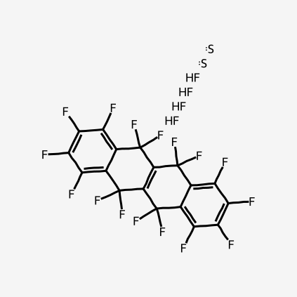 F.F.F.F.Fc1c(F)c(F)c2c(c1F)C(F)(F)C1=C(C2(F)F)C(F)(F)c2c(F)c(F)c(F)c(F)c2C1(F)F.[S].[S]